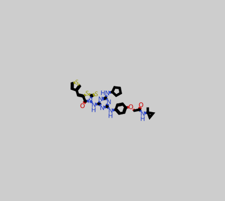 CC1(NC(=O)COc2ccc(Nc3nc(NC4CCCC4)nc(NN4C(=O)/C(=C/c5ccsc5)SC4=S)n3)cc2)CC1